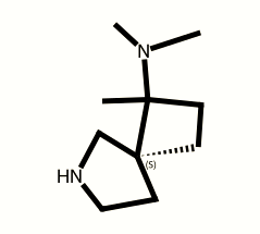 CN(C)C1(C)CC[C@@]12CCNC2